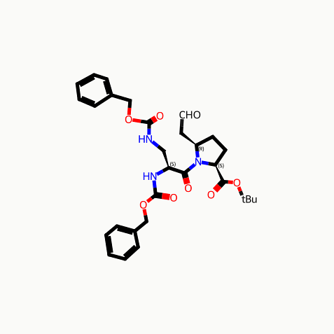 CC(C)(C)OC(=O)[C@@H]1CC[C@H](CC=O)N1C(=O)[C@H](CNC(=O)OCc1ccccc1)NC(=O)OCc1ccccc1